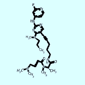 CCCN(C)c1nc(Nc2ccnc(F)c2)ncc1C#CCCCNC(=O)[C@H](C)N(C)C(=O)/C=C/CN(C)C